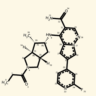 CCC(=O)N1C[C@H]2C[C@@H](Nc3c(C(N)=O)cnn4cc(-c5ccnc(F)c5)cc34)[C@@H](C)[C@@H]2C1